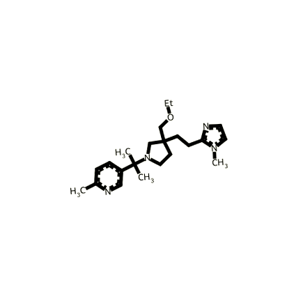 CCOCC1(CCc2nccn2C)CCN(C(C)(C)c2ccc(C)nc2)C1